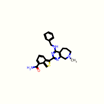 CN1CCCc2c(nc(-c3scc4c(C(N)=O)cccc34)nc2NCc2ccccc2)C1